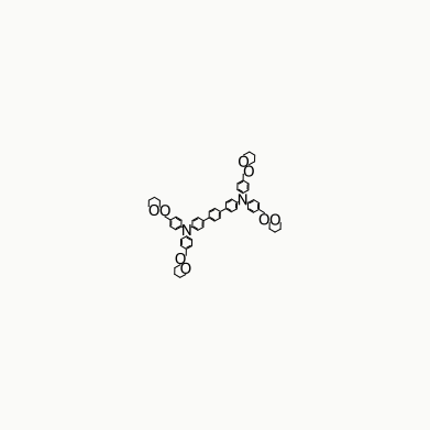 c1cc(N(c2ccc(COC3CCCCO3)cc2)c2ccc(-c3ccc(-c4ccc(N(c5ccc(COC6CCCCO6)cc5)c5ccc(COC6CCCCO6)cc5)cc4)cc3)cc2)ccc1COC1CCCCO1